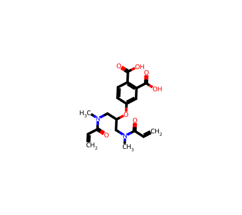 C=CC(=O)N(C)CC(CN(C)C(=O)C=C)Oc1ccc(C(=O)O)c(C(=O)O)c1